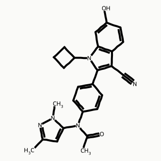 CC(=O)N(c1ccc(-c2c(C#N)c3ccc(O)cc3n2C2CCC2)cc1)c1cc(C)nn1C